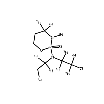 [2H]N1C([2H])([2H])CCOP1(=O)N(C([2H])([2H])CCl)C([2H])([2H])C([2H])([2H])Cl